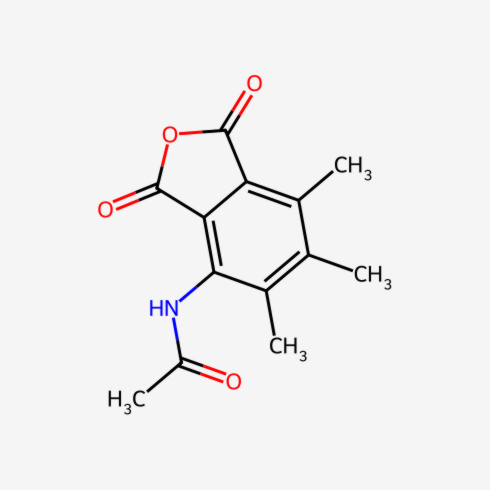 CC(=O)Nc1c(C)c(C)c(C)c2c1C(=O)OC2=O